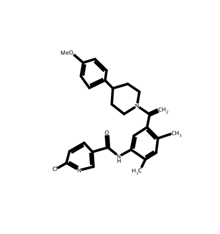 C=C(c1cc(NC(=O)c2ccc(Cl)nc2)c(C)cc1C)N1CCC(c2ccc(OC)cc2)CC1